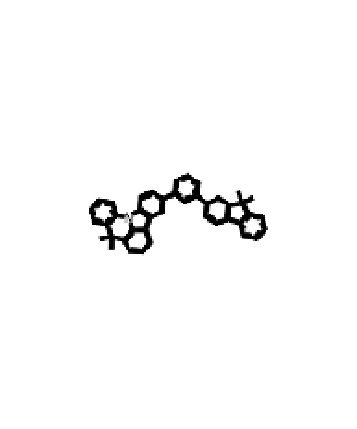 CC1(C)C2=C(C=CC(c3cccc(C4C=CC5=C(C4)C4CC=CC6=C4N5c4ccccc4C6(C)C)c3)C2)c2ccccc21